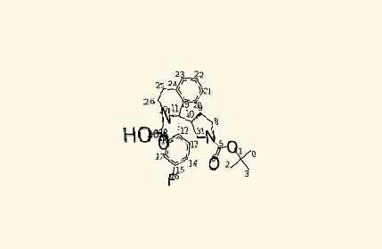 CC(C)(C)OC(=O)N1CC[C@H]([C@]2(c3ccc(F)cc3)c3ccccc3CCN2C(=O)O)C1